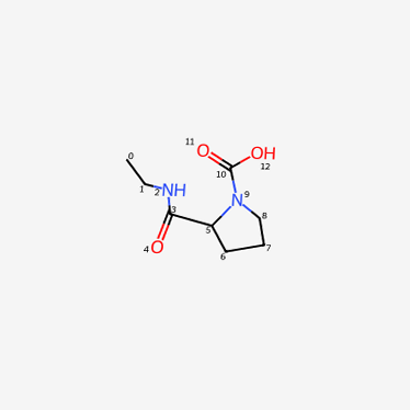 CCNC(=O)C1CCCN1C(=O)O